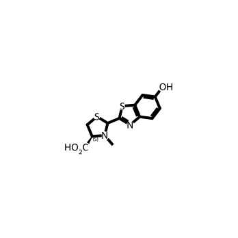 CN1C(c2nc3ccc(O)cc3s2)SC[C@@H]1C(=O)O